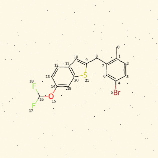 Cc1ccc(Br)cc1Cc1cc2ccc(OC(F)F)cc2s1